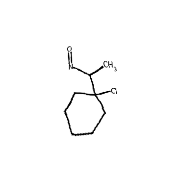 CC(N=O)C1(Cl)CCCCC1